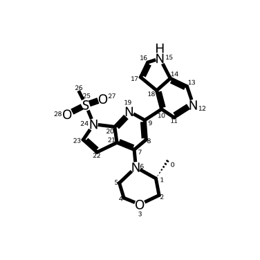 C[C@@H]1COCCN1c1cc(-c2cncc3[nH]ccc23)nc2c1ccn2S(C)(=O)=O